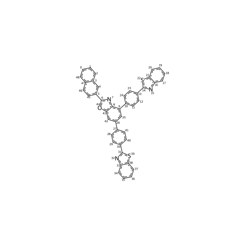 c1ccc2cc(-c3nc4c(-c5ccc(-c6nc7ccccc7s6)cc5)cc(-c5ccc(-c6nc7ccccc7s6)cc5)cc4o3)ccc2c1